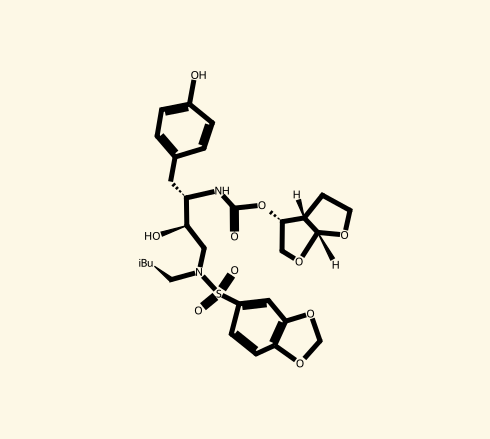 CC[C@H](C)CN(C[C@@H](O)[C@H](Cc1ccc(O)cc1)NC(=O)O[C@H]1CO[C@H]2OCC[C@H]21)S(=O)(=O)c1ccc2c(c1)OCO2